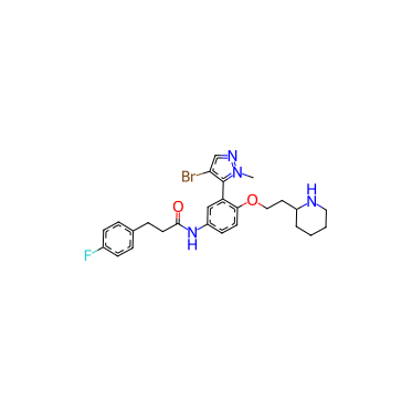 Cn1ncc(Br)c1-c1cc(NC(=O)CCc2ccc(F)cc2)ccc1OCCC1CCCCN1